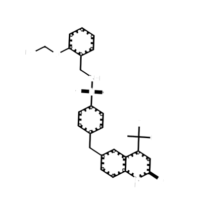 CCOc1ccccc1CNS(=O)(=O)c1ccc(Cc2ccc3[nH]c(=O)cc(C(F)(F)F)c3c2)cc1